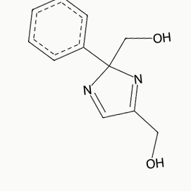 OCC1=NC(CO)(c2ccccc2)N=C1